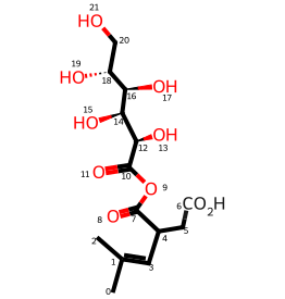 CC(C)=CC(CC(=O)O)C(=O)OC(=O)[C@H](O)[C@@H](O)[C@H](O)[C@H](O)CO